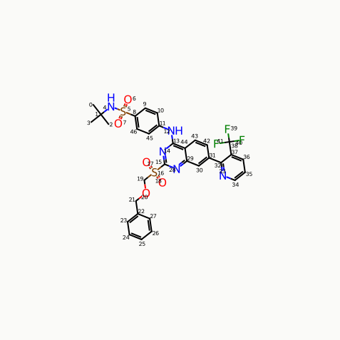 CC(C)(C)NS(=O)(=O)c1ccc(Nc2nc(S(=O)(=O)COCc3ccccc3)nc3cc(-c4ncccc4C(F)(F)F)ccc23)cc1